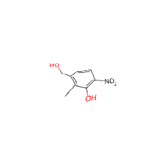 Cc1c(CO)ccc([N+](=O)[O-])c1O